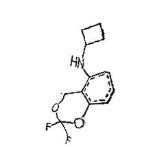 FC1(F)O[CH]c2c(NC3CCC3)cccc2O1